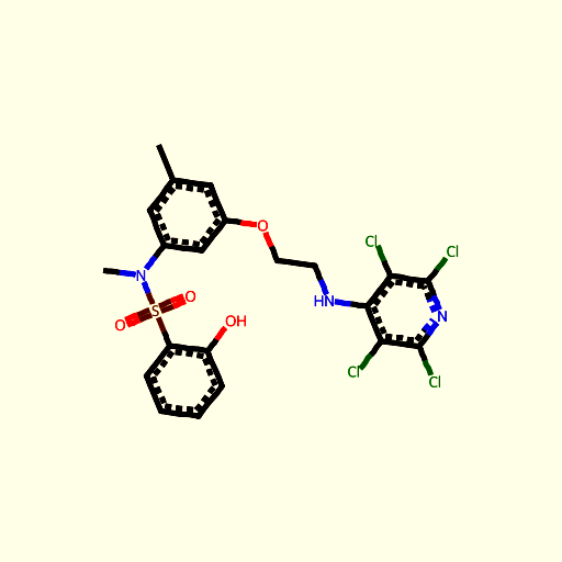 Cc1cc(OCCNc2c(Cl)c(Cl)nc(Cl)c2Cl)cc(N(C)S(=O)(=O)c2ccccc2O)c1